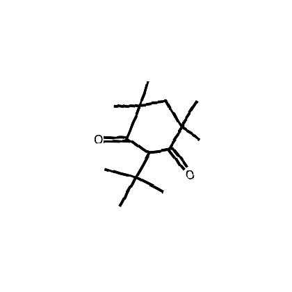 CC1(C)CC(C)(C)C(=O)C(C(C)(C)C)C1=O